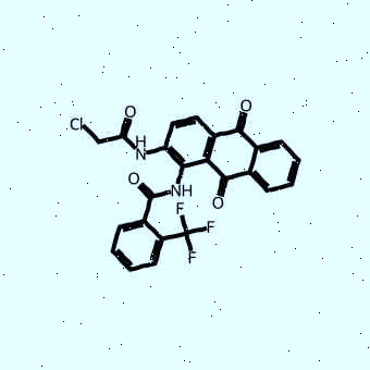 O=C(CCl)Nc1ccc2c(c1NC(=O)c1ccccc1C(F)(F)F)C(=O)c1ccccc1C2=O